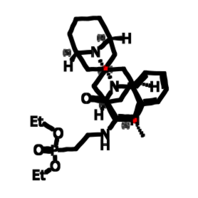 CCOP(=O)(CCNc1nc2ccccc2n([C@H]2C[C@H]3CCC[C@@H](C2)N3[C@H]2C[C@@H]3C[C@@H](C)C[C@@H](C3)C2)c1=O)OCC